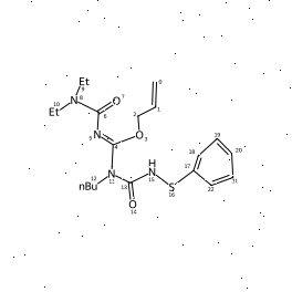 C=CCOC(=NC(=O)N(CC)CC)N(CCCC)C(=O)NSc1ccccc1